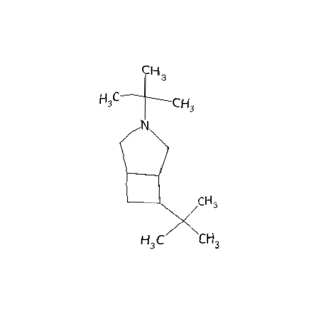 CC(C)(C)C1CC2CN(C(C)(C)C)CC21